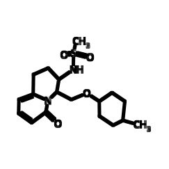 CC1CCC(OCC2C(NS(C)(=O)=O)CCc3cccc(=O)n32)CC1